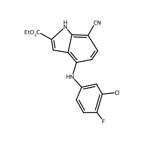 CCOC(=O)c1cc2c(Nc3ccc(F)c(Cl)c3)ccc(C#N)c2[nH]1